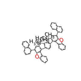 C[Si]1(C)c2cc(-c3cccc4ccccc34)c3oc4ccccc4c3c2-c2ccc3c(c21)[Si](C)(C)c1cc(-c2cccc4ccccc24)c2oc4ccccc4c2c1-3